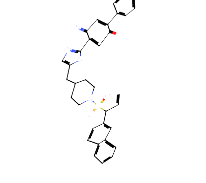 C=CC(c1ccc2ccccc2c1)S(=O)(=O)N1CCC(Cc2cnc(C3=CC(=O)C(c4ccccc4)=CC3=N)[nH]2)CC1